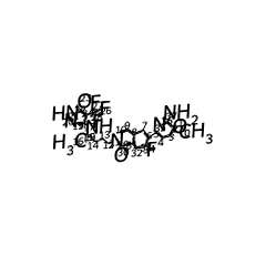 COc1ccc(-c2cc3ccn(CCC[C@H](C)Nc4cn[nH]c(=O)c4C(F)(F)F)c(=O)c3cc2F)nc1N